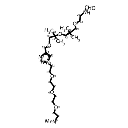 CNCCOCCOCCOCCn1cc(COCC(C)(C)OCC(C)(C)COCCNC=O)nn1